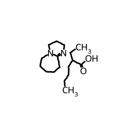 C1CCC2=NCCCN2CC1.CCCCC(CC)C(=O)O